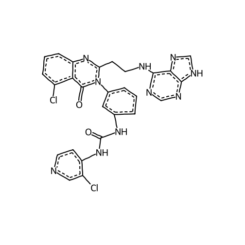 O=C(Nc1cccc(-n2c(CCNc3ncnc4[nH]cnc34)nc3cccc(Cl)c3c2=O)c1)Nc1ccncc1Cl